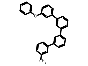 Cc1cccc(-c2cccc(-c3cccc(-c4cccc(Oc5ccccc5)c4)c3)c2)c1